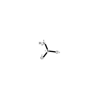 [SiH3]N(Cl)Cl